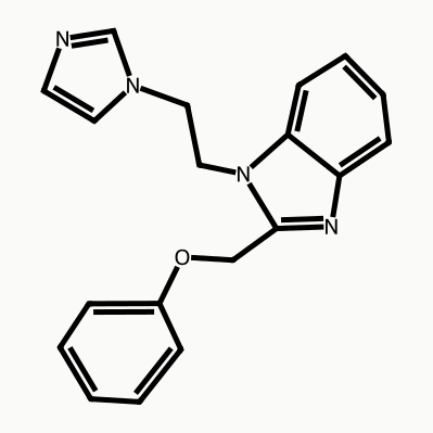 c1ccc(OCc2nc3ccccc3n2CCn2ccnc2)cc1